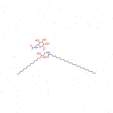 CCCCCCCCCCCCCCCCCCCCCCCC(=O)N[C@@H](COC1OC(CNC(C)=O)C(O)C(O)C1O)[C@H](O)[C@H](O)CCCCCCCCCCCCCC